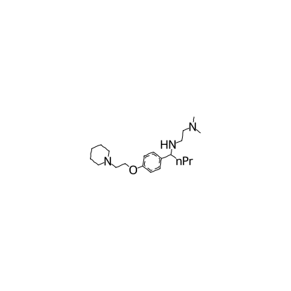 CCCC(NCCN(C)C)c1ccc(OCCN2CCCCC2)cc1